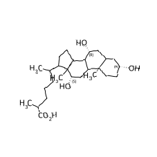 CC(CCCC(C)C1CCC2C3C(C[C@H](O)C12C)C1(C)CC[C@@H](O)CC1C[C@H]3O)C(=O)O